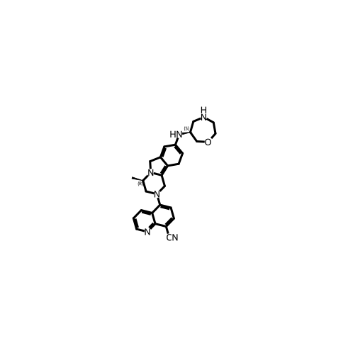 C[C@@H]1CN(c2ccc(C#N)c3ncccc23)CC2=C3CC=C(N[C@H]4CNCCOC4)C=C3CN21